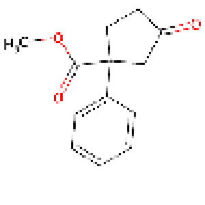 COC(=O)C1(c2ccccc2)CCC(=O)C1